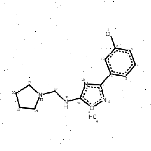 Cl.Clc1cccc(-c2noc(NCN3CCCC3)n2)c1